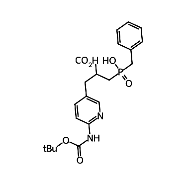 CC(C)(C)OC(=O)Nc1ccc(CC(CP(=O)(O)Cc2ccccc2)C(=O)O)cn1